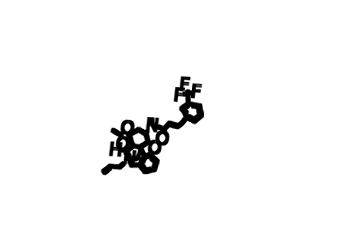 C=CCN1CC[C@]23c4c5cccc4OC2C(N(C)C(=O)/C=C/c2cccc(C(F)(F)F)c2)CC[C@@]3(OC(C)=O)[C@H]1C5